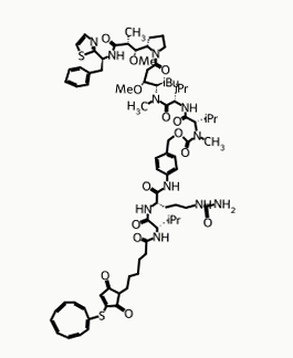 CC[C@H](C)[C@@H]([C@@H](CC(=O)N1CCC[C@H]1[C@H](OC)[C@@H](C)C(=O)N[C@@H](Cc1ccccc1)c1nccs1)OC)N(C)C(=O)[C@@H](NC(=O)[C@H](C(C)C)N(C)C(=O)OCc1ccc(NC(=O)[C@H](CCCNC(N)=O)NC(=O)[C@@H](NC(=O)CCCCCC2C(=O)C=C(Sc3ccccccccc3)C2=O)C(C)C)cc1)C(C)C